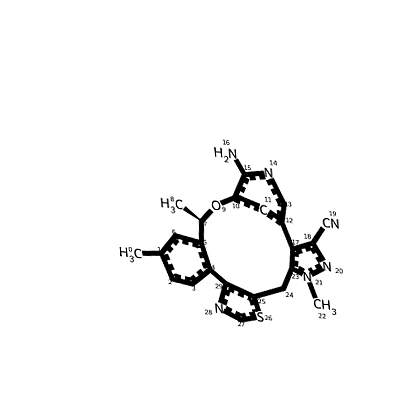 Cc1ccc2c(c1)[C@@H](C)Oc1cc(cnc1N)-c1c(C#N)nn(C)c1Cc1scnc1-2